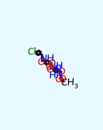 CCOC(=O)CNC(=O)c1ccc(C(=O)NS(=O)(=O)c2ccc(C(=O)NCCc3ccc(Cl)cc3)cc2)cn1